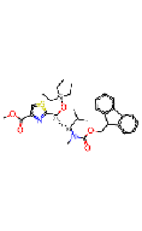 CC[Si](CC)(CC)O[C@H](C[C@H](C(C)C)N(C)C(=O)OCC1c2ccccc2-c2ccccc21)c1nc(C(=O)OC)cs1